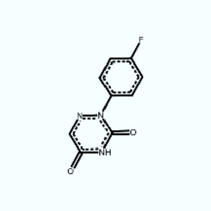 O=c1cnn(-c2ccc(F)cc2)c(=O)[nH]1